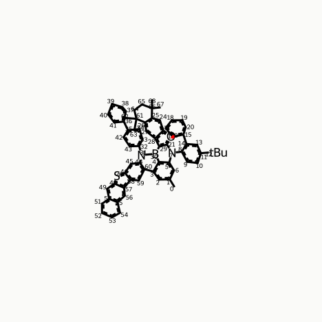 Cc1cc2c3c(c1)N(c1ccc(C(C)(C)C)cc1-c1ccccc1)c1oc4cc5c(cc4c1B3N(c1ccc(-c3ccccc3)cc1)c1cc3sc4cc6ccccc6cc4c3cc1-2)C(C)(C)CCC5(C)C